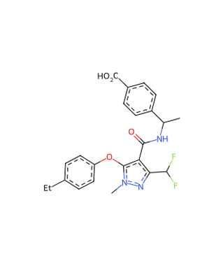 CCc1ccc(Oc2c(C(=O)NC(C)c3ccc(C(=O)O)cc3)c(C(F)F)nn2C)cc1